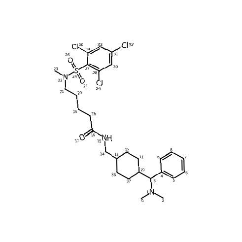 CN(C)C(c1ccccc1)C1CCC(CNC(=O)CCCCN(C)S(=O)(=O)c2c(Cl)cc(Cl)cc2Cl)CC1